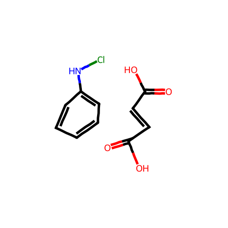 ClNc1ccccc1.O=C(O)C=CC(=O)O